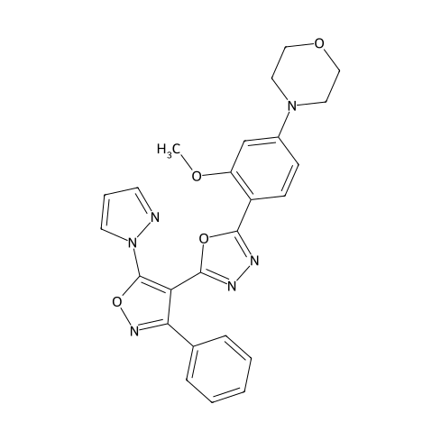 COc1cc(N2CCOCC2)ccc1-c1nnc(-c2c(-c3ccccc3)noc2-n2cccn2)o1